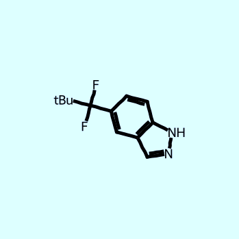 CC(C)(C)C(F)(F)c1ccc2[nH]ncc2c1